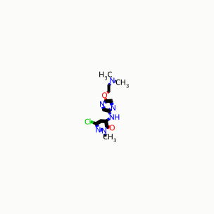 CN(C)CCOc1cnc(Nc2cc(Cl)nn(C)c2=O)cn1